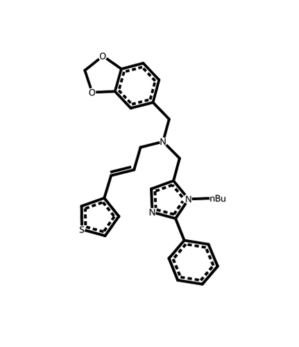 CCCCn1c(CN(CC=Cc2ccsc2)Cc2ccc3c(c2)OCO3)cnc1-c1ccccc1